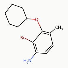 Cc1ccc(N)c(Br)c1OC1CCCCC1